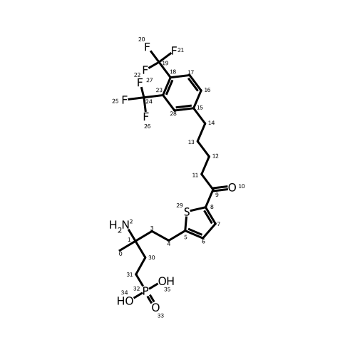 CC(N)(CCc1ccc(C(=O)CCCCc2ccc(C(F)(F)F)c(C(F)(F)F)c2)s1)CCP(=O)(O)O